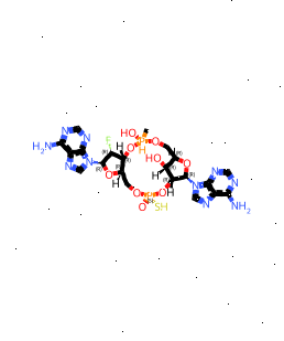 C[PH]1(O)OC[C@H]2O[C@@H](n3cnc4c(N)ncnc43)[C@H](O[P@@](=O)(S)OC[C@H]3O[C@@H](n4cnc5c(N)ncnc54)[C@H](F)[C@@H]3O1)[C@@H]2O